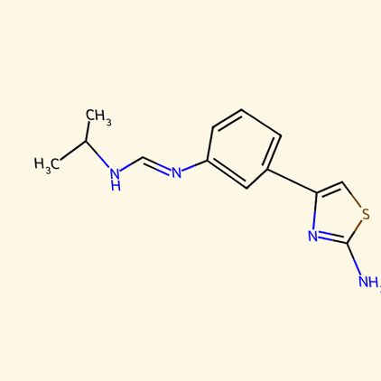 CC(C)NC=Nc1cccc(-c2csc(N)n2)c1